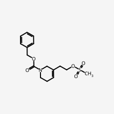 CS(=O)(=O)OCCC1=CCCN(C(=O)OCc2ccccc2)C1